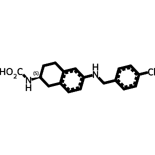 O=C(O)N[C@H]1CCc2cc(NCc3ccc(Cl)cc3)ccc2C1